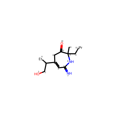 CCC(CO)C1=CC(=N)NC(C)(CC(C)C)C(=O)C1